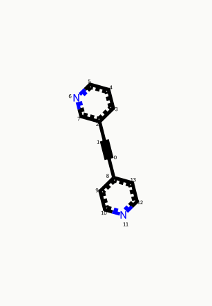 C(#Cc1cccnc1)c1ccncc1